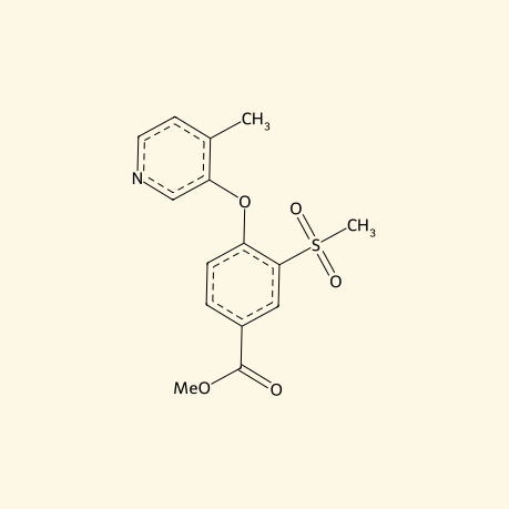 COC(=O)c1ccc(Oc2cnccc2C)c(S(C)(=O)=O)c1